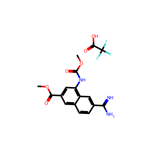 COC(=O)Nc1cc(C(=O)OC)cc2ccc(C(=N)N)cc12.O=C(O)C(F)(F)F